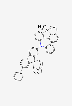 CC1(C)c2ccccc2-c2c(N(c3ccccc3)c3ccc4c(c3)C3(c5cc(-c6ccccc6)ccc5-4)C4CC5CC(C4)CC3C5)cccc21